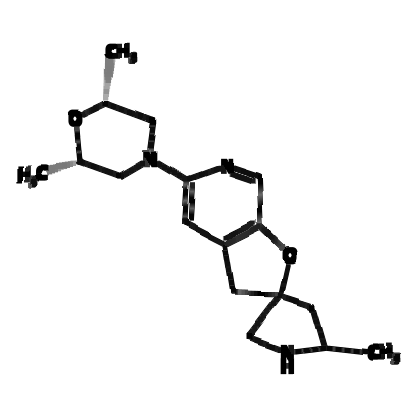 CC1CC2(CN1)Cc1cc(N3C[C@@H](C)O[C@@H](C)C3)ncc1O2